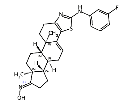 C[C@]12CCc3nc(Nc4cccc(F)c4)sc3C1=CC[C@@H]1[C@@H]2CC[C@]2(C)/C(=N/O)CC[C@@H]12